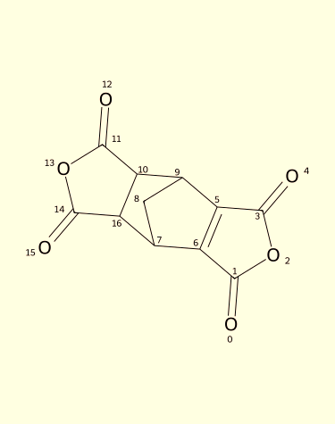 O=C1OC(=O)C2=C1C1CC2C2C(=O)OC(=O)C12